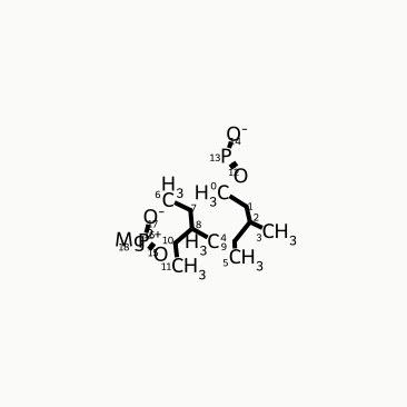 CCC(C)CC.CCC(C)CC.O=P[O-].O=P[O-].[Mg+2]